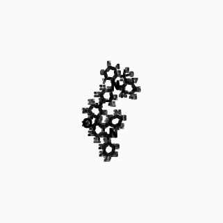 CC1(C)c2ccccc2N(c2ccc(-c3ccc4oc5ccc6c(-c7ccccc7)nc7ccccc7c6c5c4c3)cc2)c2ccccc21